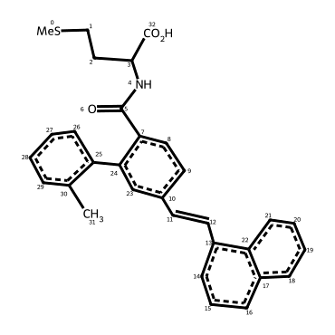 CSCCC(NC(=O)c1ccc(C=Cc2cccc3ccccc23)cc1-c1ccccc1C)C(=O)O